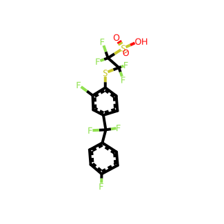 O=S(=O)(O)C(F)(F)C(F)(F)Sc1ccc(C(F)(F)c2ccc(F)cc2)cc1F